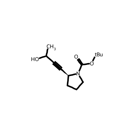 CC(O)C#C[C@@H]1CCCN1C(=O)OC(C)(C)C